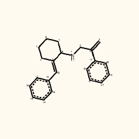 C=C(CNC1CCCCC1=Cc1ccccc1)c1ccccc1